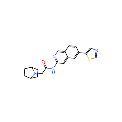 O=C(CN1C2CCC1CC2)Nc1cc2cc(-c3cncs3)ccc2cn1